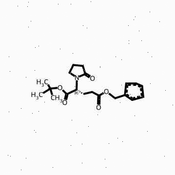 CC(C)(C)OC(=O)[C@@H](CCC(=O)OCc1ccccc1)N1CCCC1=O